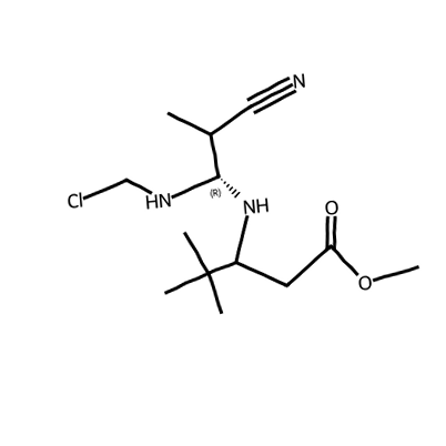 COC(=O)CC(N[C@H](NCCl)C(C)C#N)C(C)(C)C